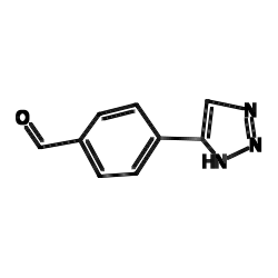 O=Cc1ccc(-c2cnn[nH]2)cc1